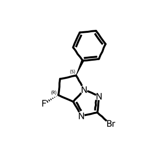 F[C@@H]1C[C@@H](c2ccccc2)n2nc(Br)nc21